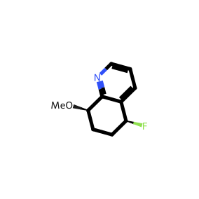 CO[C@@H]1CC[C@H](F)c2cccnc21